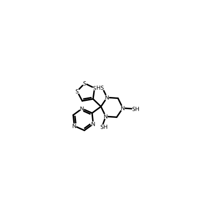 SN1CN(S)C(C2=CSSS2)(c2ncncn2)N(S)C1